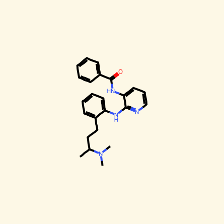 CC(CCc1ccccc1Nc1ncccc1NC(=O)c1ccccc1)N(C)C